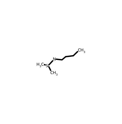 CCCC[N][Si](C)C